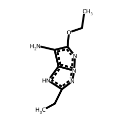 CCOc1nn2nc(CC)[nH]c2c1N